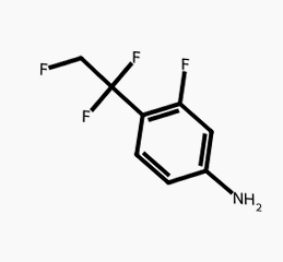 Nc1ccc(C(F)(F)CF)c(F)c1